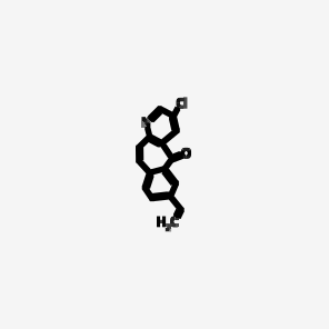 C=Cc1ccc2ccc3ncc(Cl)cc3c(=O)c2c1